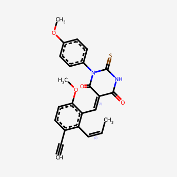 C#Cc1ccc(OC)c(/C=C2/C(=O)NC(=S)N(c3ccc(OC)cc3)C2=O)c1/C=C\C